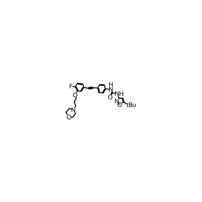 CC(C)(C)c1cc(NC(=O)Nc2ccc(C#Cc3ccc(F)c(OCCCN4CCOCC4)c3)cc2)no1